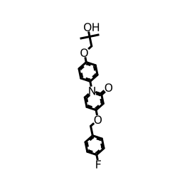 CC(C)(O)COc1ccc(-n2ccc(OCc3ccc(F)cc3)cc2=O)cc1